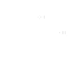 C=CC(O)C1CC[CH]CC1